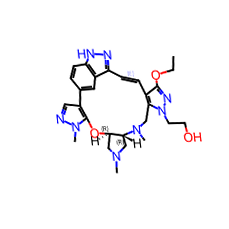 CCOc1nn(CCO)c2c1/C=C/c1n[nH]c3ccc(cc13)-c1cnn(C)c1O[C@@H]1CN(C)C[C@H]1N(C)C2